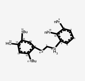 CCCc1cccc([SiH2]CSc2cc(C(C)(C)C)c(O)cc2C(C)(C)C)c1CCC